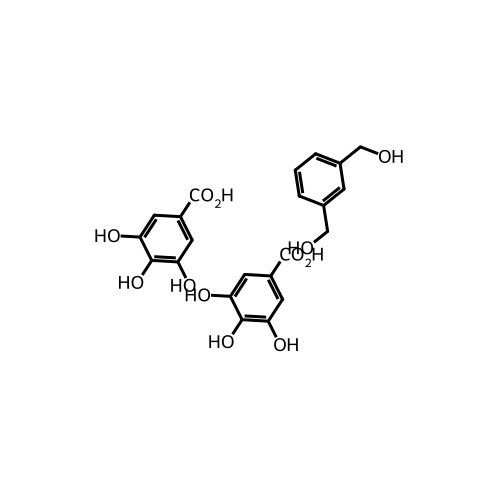 O=C(O)c1cc(O)c(O)c(O)c1.O=C(O)c1cc(O)c(O)c(O)c1.OCc1cccc(CO)c1